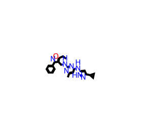 CCc1onc(-c2ccccc2)c1CNc1nc(C)cc(Nc2cc(C3CC3)n[nH]2)n1